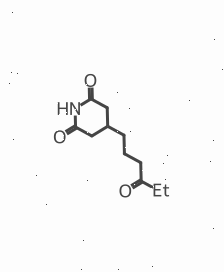 CCC(=O)CCCC1CC(=O)NC(=O)C1